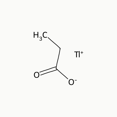 CCC(=O)[O-].[Tl+]